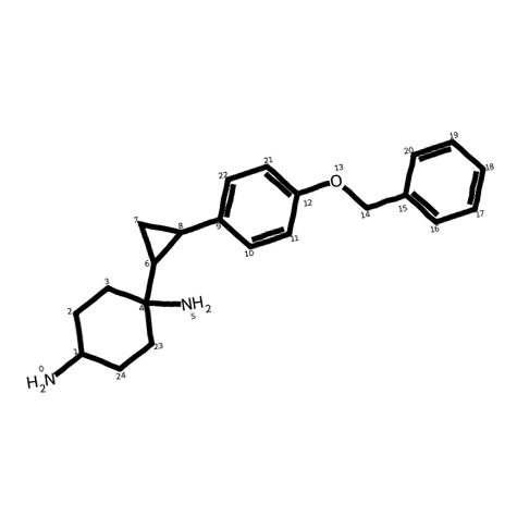 NC1CCC(N)(C2CC2c2ccc(OCc3ccccc3)cc2)CC1